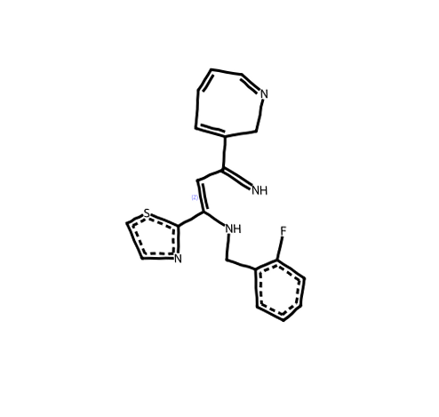 N=C(/C=C(\NCc1ccccc1F)c1nccs1)C1=CC=CC=NC1